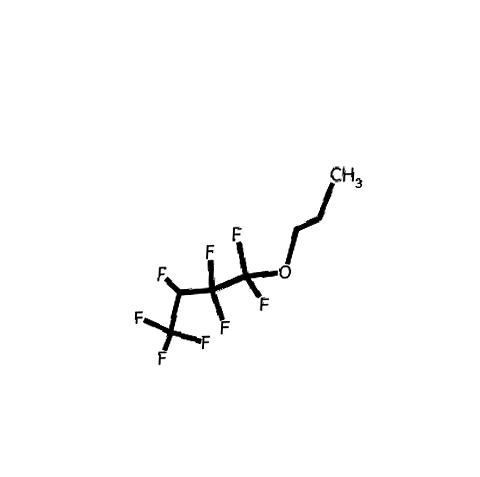 CCCOC(F)(F)C(F)(F)C(F)C(F)(F)F